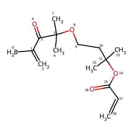 BC(=C)C(=O)C(C)(C)OCCC(C)(C)OC(=O)C=C